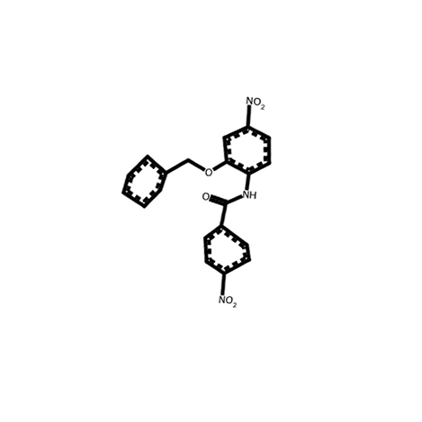 O=C(Nc1ccc([N+](=O)[O-])cc1OCc1ccccc1)c1ccc([N+](=O)[O-])cc1